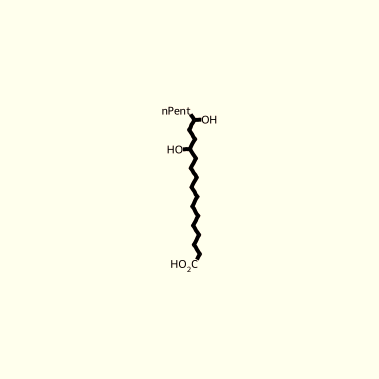 CCCCCC(O)CCC(O)CCCCCCCCCCCC(=O)O